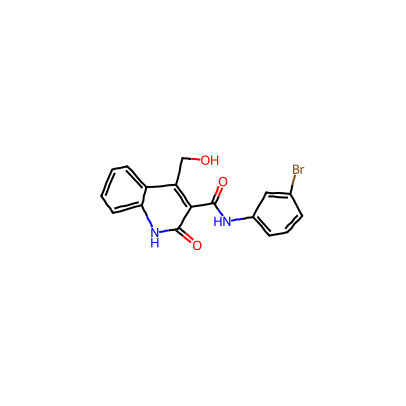 O=C(Nc1cccc(Br)c1)c1c(CO)c2ccccc2[nH]c1=O